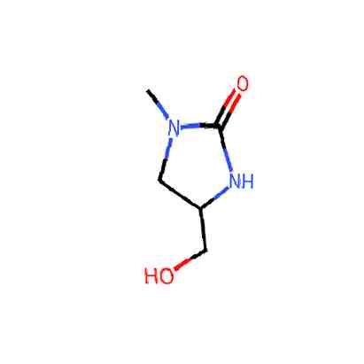 CN1CC(CO)NC1=O